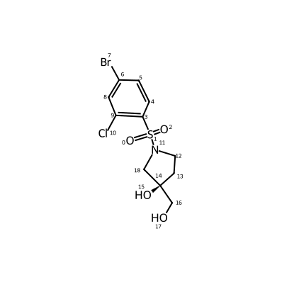 O=S(=O)(c1ccc(Br)cc1Cl)N1CC[C@](O)(CO)C1